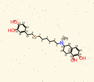 CCCN(CCCCCCSCCc1ccc(O)c(O)c1)C1CCc2c(ccc(O)c2O)C1